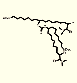 CCCCCCCCCCCCCCCCCC(CCCCCCCC(CC)C(CC)N(C)C)OC(=O)OC(CCCCCCCCCCCCCCCCC)CCCCCCCC(CC)C(CC)N(C)C